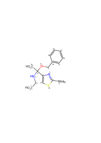 CC(=O)Nc1nc(C(NCC(=O)O)(OCc2ccccc2)C(=O)O)cs1